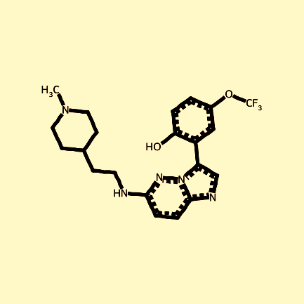 CN1CCC(CCNc2ccc3ncc(-c4cc(OC(F)(F)F)ccc4O)n3n2)CC1